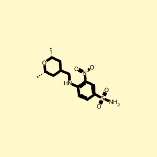 C[C@@H]1CC(CNc2ccc(S(N)(=O)=O)cc2[N+](=O)[O-])C[C@H](C)O1